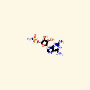 Nc1nc(N)c2ncn([C@@H]3O[C@H](COS(N)(=O)=O)[C@@H](O)[C@H]3O)c2n1